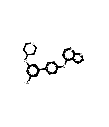 FC(F)(F)c1cc(OC2CCOCC2)cc(-c2ccc(Oc3ccnc4[nH]ccc34)cc2)c1